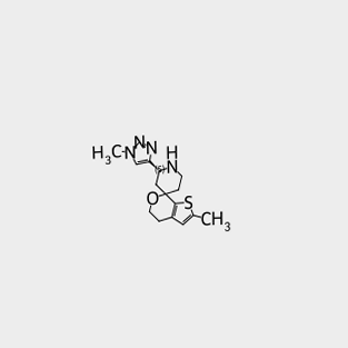 Cc1cc2c(s1)C1(CCN[C@H](c3cn(C)nn3)C1)OCC2